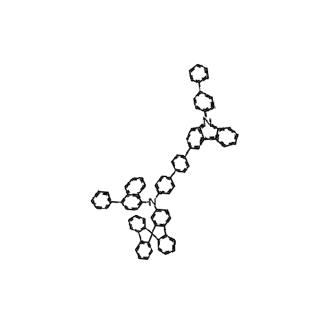 c1ccc(-c2ccc(-n3c4ccccc4c4cc(-c5ccc(-c6ccc(N(c7ccc8c(c7)C7(c9ccccc9-c9ccccc97)c7ccccc7-8)c7ccc(-c8ccccc8)c8ccccc78)cc6)cc5)ccc43)cc2)cc1